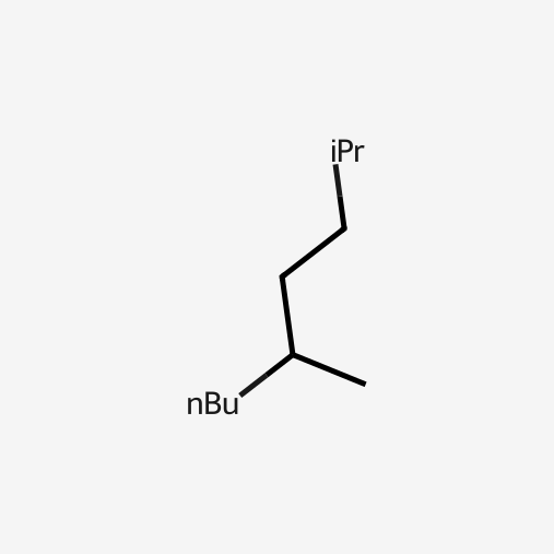 CCCCC(C)CCC(C)C